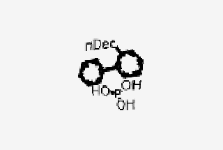 CCCCCCCCCCc1ccccc1-c1ccccc1.OP(O)O